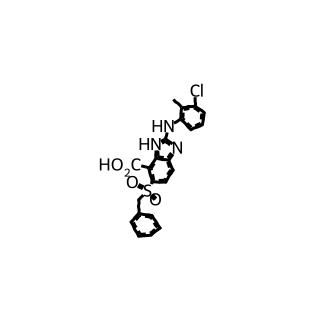 Cc1c(Cl)cccc1Nc1nc2ccc(S(=O)(=O)Cc3ccccc3)c(C(=O)O)c2[nH]1